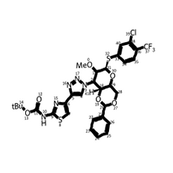 COC1C(n2cc(-c3csc(NC(=O)OC(C)(C)C)n3)nn2)[C@H]2OC(c3ccccc3)OCC2O[C@@H]1Sc1ccc(C(F)(F)F)c(Cl)c1